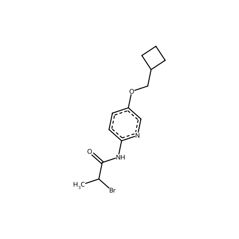 CC(Br)C(=O)Nc1ccc(OCC2CCC2)cn1